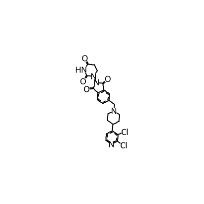 O=C1CCN(N2C(=O)c3ccc(CN4CCC(c5ccnc(Cl)c5Cl)CC4)cc3C2=O)C(=O)N1